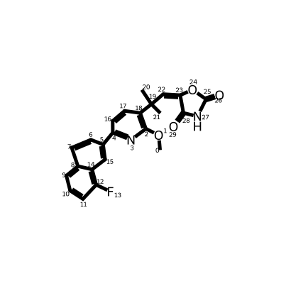 COc1nc(-c2ccc3cccc(F)c3c2)ccc1C(C)(C)C=C1OC(=O)NC1=O